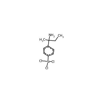 CCC(C)(N)c1ccc([Si](Cl)(Cl)Cl)cc1